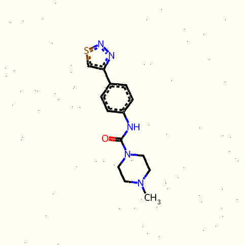 CN1CCN(C(=O)Nc2ccc(-c3csnn3)cc2)CC1